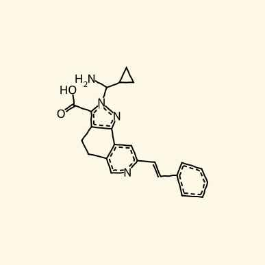 NC(C1CC1)n1nc2c(c1C(=O)O)CCc1cnc(C=Cc3ccccc3)cc1-2